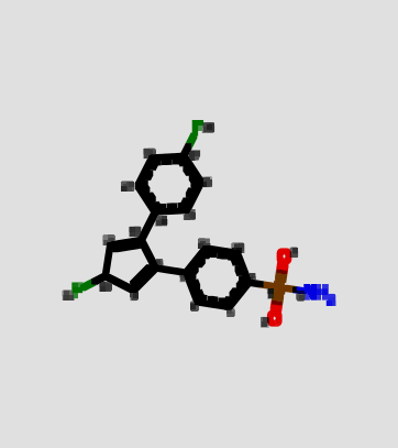 NS(=O)(=O)c1ccc(C2=CC(F)C=C2c2ccc(F)cc2)cc1